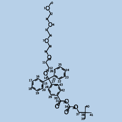 COCCOCCOCCOCCOC(c1ccccc1)(c1ccccc1)c1ccc(C(=O)OC(=O)OCC(C)(C)C)cc1